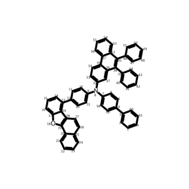 c1ccc(-c2ccc(N(c3ccc(-c4cccc5oc6c7ccccc7ccc6c45)cc3)c3ccc4c(c3)c(-c3ccccc3)c(-c3ccccc3)c3ccccc34)cc2)cc1